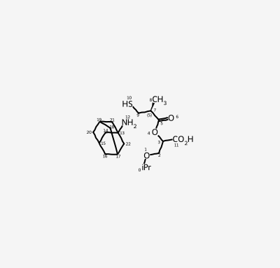 CC(C)OCC(OC(=O)[C@H](C)CS)C(=O)O.NC12CC3CC(CC(C3)C1)C2